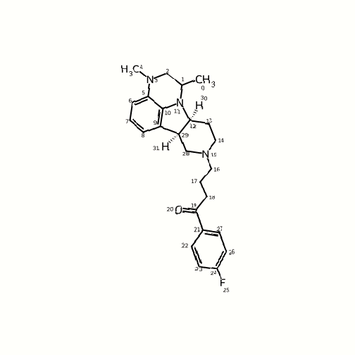 CC1CN(C)c2cccc3c2N1[C@H]1CCN(CCCC(=O)c2ccc(F)cc2)C[C@@H]31